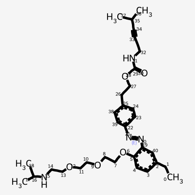 CCc1ccc(OCCOCCOCCNC(C)C)c(/N=N/c2ccc(CCOC(=O)NCC#CC(C)C)cc2)c1